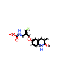 CC1Cc2cc(OC/C(=C\F)CNC(=O)O)ccc2NC1=O